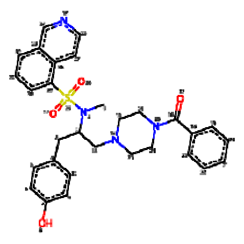 CN(C(Cc1ccc(O)cc1)CN1CCN(C(=O)c2ccccc2)CC1)S(=O)(=O)c1cccc2cnccc12